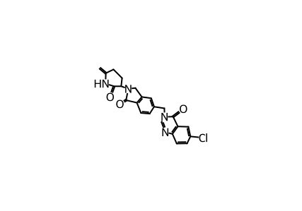 C=C1CCC(N2Cc3cc(Cn4cnc5ccc(Cl)cc5c4=O)ccc3C2=O)C(=O)N1